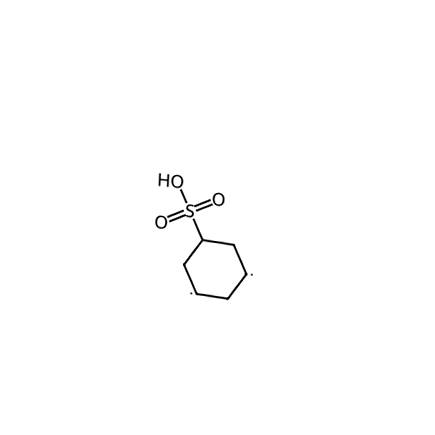 O=S(=O)(O)C1C[CH]C[CH]C1